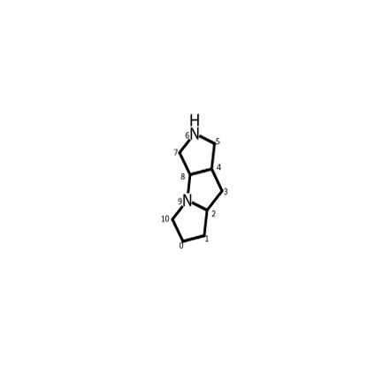 C1CC2CC3CNCC3N2C1